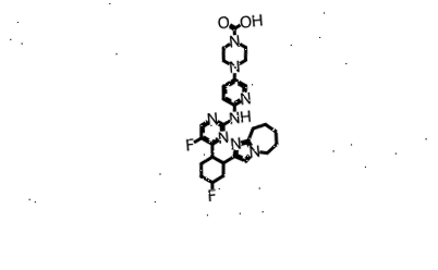 O=C(O)N1CCN(c2ccc(Nc3ncc(F)c(C4CCC(F)CC4c4cn5c(n4)CCCCC5)n3)nc2)CC1